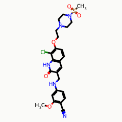 COc1cc(NCc2cc3ccc(OCCN4CCN(S(C)(=O)=O)CC4)c(Cl)c3[nH]c2=O)ccc1C#N